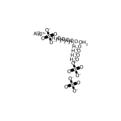 O.O.O.O.O.O.O.O.O.O.O=S(=O)([O-])[O-].O=S(=O)([O-])[O-].O=S(=O)([O-])[O-].[Al+3].[Al+3]